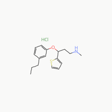 CCCc1cccc(OC(CCNC)c2cccs2)c1.Cl